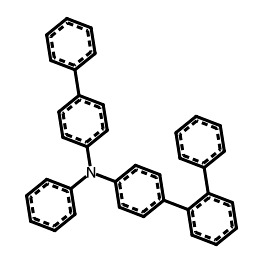 c1ccc(-c2ccc(N(c3ccccc3)c3ccc(-c4ccccc4-c4ccccc4)cc3)cc2)cc1